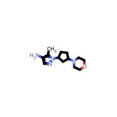 Cc1c(N)cnn1C1CCC(N2CCOCC2)C1